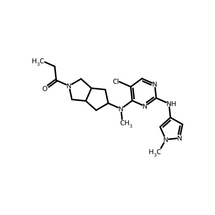 CCC(=O)N1CC2CC(N(C)c3nc(Nc4cnn(C)c4)ncc3Cl)CC2C1